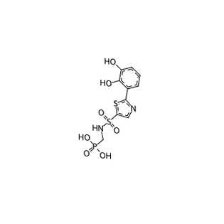 O=P(O)(O)CNS(=O)(=O)c1cnc(-c2cccc(O)c2O)s1